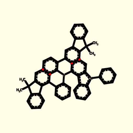 CC1(C)c2ccccc2-c2cc(-c3ccccc3N(c3ccccc3-c3cccc4c3-c3ccccc3C4(C)C)c3cccc4c3c3ccccc3n4-c3ccccc3)ccc21